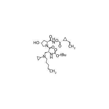 C=CCCCN(C[C@H](NC(=O)OC(C)(C)C)C(=O)N1C[C@H](O)C[C@H]1C(=O)NOC(=O)[C@@H]1C[C@H]1C=C)C1CC1